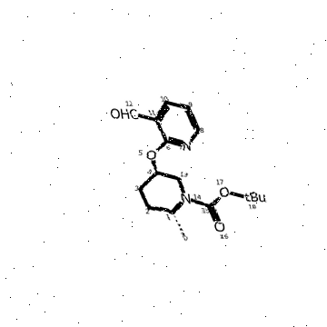 C[C@@H]1CC[C@@H](Oc2ncccc2C=O)CN1C(=O)OC(C)(C)C